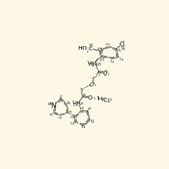 Cl.O=C(COCC(=O)Nc1ccccc1-c1ccncc1)Nc1ccc(Cl)cc1C(=O)O